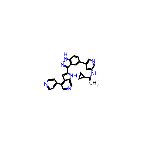 C=C(Nc1cncc(-c2ccc3[nH]nc(-c4cc5c(-c6ccncc6)cncc5[nH]4)c3c2)c1)C1CC1